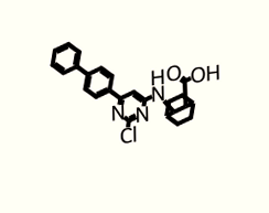 O=C(O)C1C2CCC(CC2)C1Nc1cc(-c2ccc(-c3ccccc3)cc2)nc(Cl)n1